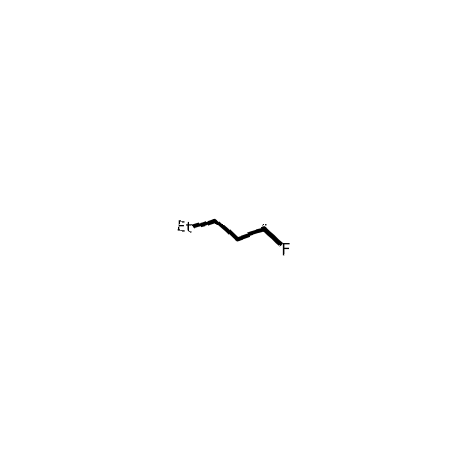 CCCC[C]F